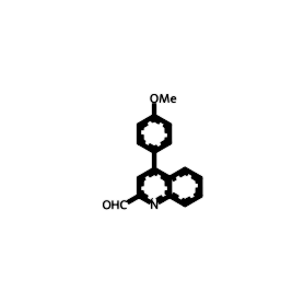 COc1ccc(-c2cc(C=O)nc3ccccc23)cc1